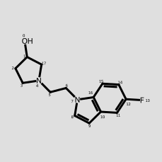 OC1CCN(CCn2ccc3cc(F)ccc32)C1